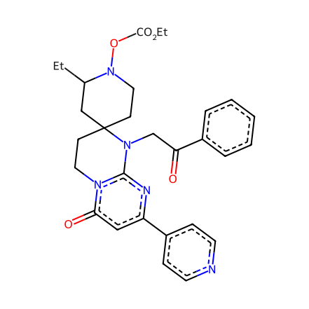 CCOC(=O)ON1CCC2(CCn3c(nc(-c4ccncc4)cc3=O)N2CC(=O)c2ccccc2)CC1CC